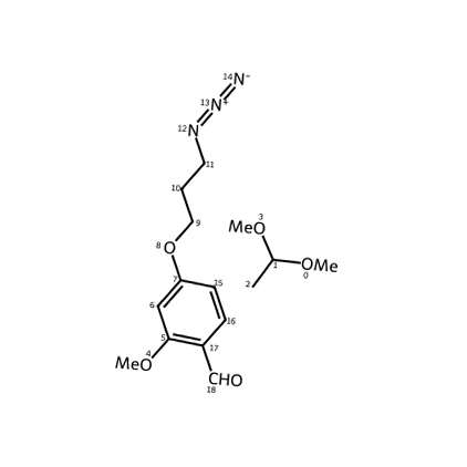 COC(C)OC.COc1cc(OCCCN=[N+]=[N-])ccc1C=O